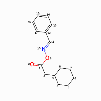 O=C(CC1CCCCC1)O/N=C/c1ccccc1